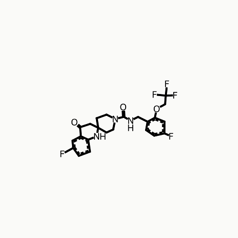 O=C1CC2(CCN(C(=O)NCc3ccc(F)cc3OCC(F)(F)F)CC2)Nc2ccc(F)cc21